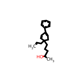 C=CCC1(CCCC(C)O)C=CC(c2ccccc2)=CC1